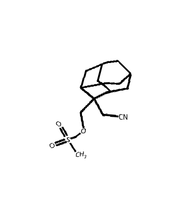 CS(=O)(=O)OCC1(CC#N)C2CC3CC(C2)CC1C3